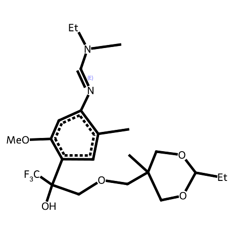 CCC1OCC(C)(COCC(O)(c2cc(C)c(/N=C/N(C)CC)cc2OC)C(F)(F)F)CO1